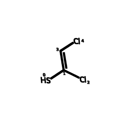 SC(Cl)=CCl